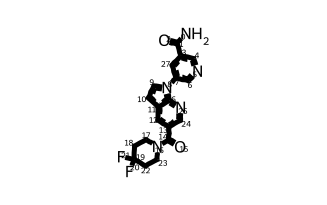 NC(=O)c1cncc(-n2ccc3cc(C(=O)N4CCC(F)(F)CC4)cnc32)c1